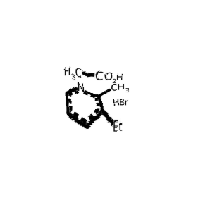 Br.CC(=O)O.CCc1cccnc1C